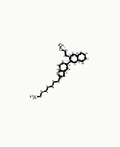 CCCCCCCCc1cc2cc(-c3cc4ccccc4cc3C=COC)ccc2s1